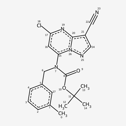 Cc1cccc(CN(C(=O)OC(C)(C)C)c2cc(Cl)nc3c(C#N)cnn23)c1